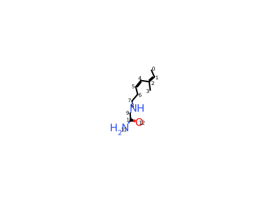 C/C=C(C)\C=C/CCNCC(N)=O